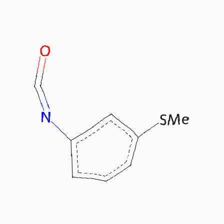 CSc1cccc(N=C=O)c1